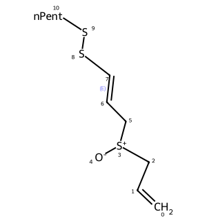 C=CC[S+]([O-])C/C=C/SSCCCCC